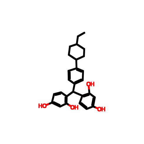 CCC1CCC(c2ccc(C(c3ccc(O)cc3O)c3ccc(O)cc3O)cc2)CC1